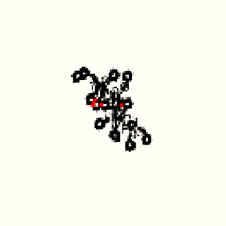 O=P(OCc1ccccc1)(OCC(OCc1ccccc1)C(OCc1ccccc1)C(CO[C@@H]1O[C@H](COCc2ccccc2)[C@H](OCc2ccccc2)C1F)OCc1ccccc1)OC1C(F)[C@H](OCC(OCc2ccccc2)C(OCc2ccccc2)C(COCc2ccc3ccccc3c2)OCc2ccccc2)O[C@@H]1COCc1ccccc1